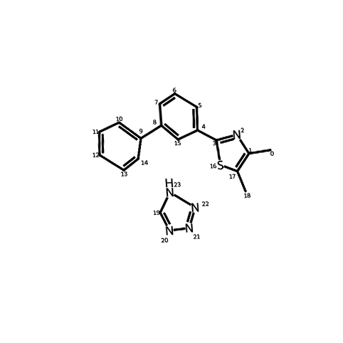 Cc1nc(-c2cccc(-c3ccccc3)c2)sc1C.c1nnn[nH]1